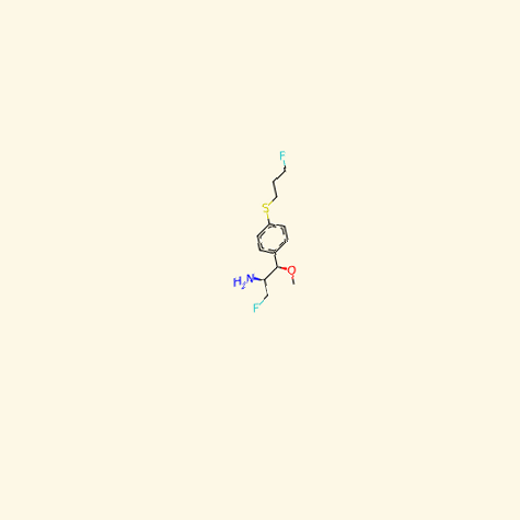 CO[C@H](c1ccc(SCCCF)cc1)[C@H](N)CF